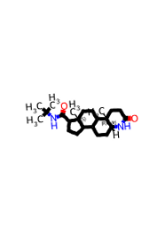 CC(C)(C)NC(=O)C1CCC2C3CC[C@H]4NC(=O)CC[C@]4(C)C3CC[C@]12C